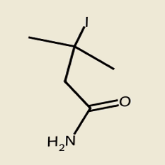 CC(C)(I)CC(N)=O